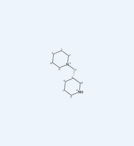 C1CCN(C[C@H]2CCCNC2)CC1